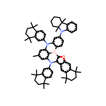 Cc1cc2c3c(c1)N(c1ccc4c(c1)C(C)(C)CCC4(C)C)c1c(oc4cc5c(cc14)C(C)(C)CCC5(C)C)B3c1ccc(N3c4ccccc4C4(C)CCCCC34C)cc1N2c1ccc2c(c1)C(C)(C)CCC2(C)C